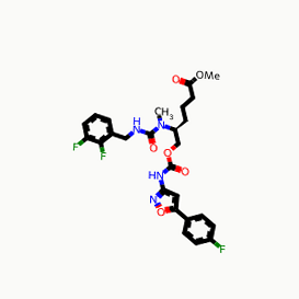 COC(=O)CCC[C@@H](COC(=O)Nc1cc(-c2ccc(F)cc2)on1)N(C)C(=O)NCc1cccc(F)c1F